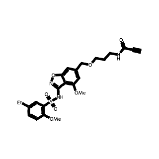 C#CC(=O)NCCCOCc1cc(OC)c2c(NS(=O)(=O)c3cc(CC)ccc3OC)noc2c1